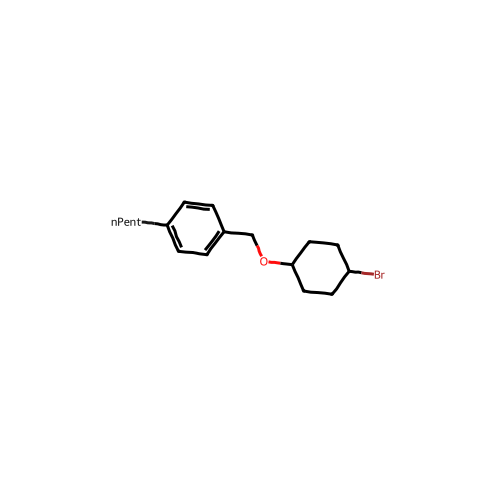 CCCCCc1ccc(COC2CCC(Br)CC2)cc1